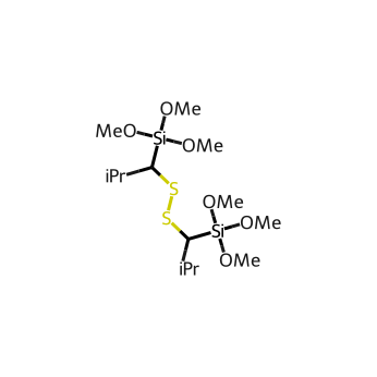 CO[Si](OC)(OC)C(SSC(C(C)C)[Si](OC)(OC)OC)C(C)C